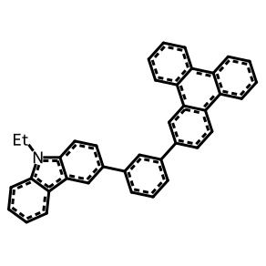 CCn1c2ccccc2c2cc(-c3cccc(-c4ccc5c6ccccc6c6ccccc6c5c4)c3)ccc21